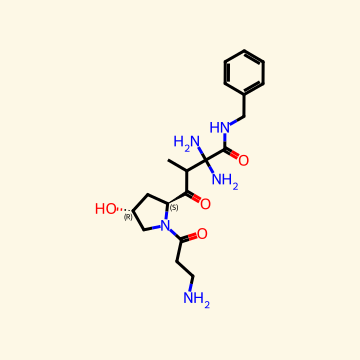 CC(C(=O)[C@@H]1C[C@@H](O)CN1C(=O)CCN)C(N)(N)C(=O)NCc1ccccc1